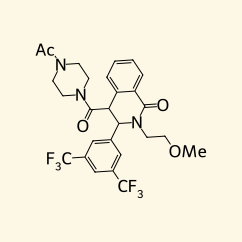 COCCN1C(=O)c2ccccc2C(C(=O)N2CCN(C(C)=O)CC2)C1c1cc(C(F)(F)F)cc(C(F)(F)F)c1